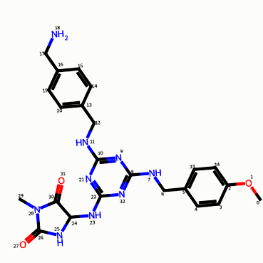 COc1ccc(CNc2nc(NCc3ccc(CN)cc3)nc(NC3NC(=O)N(C)C3=O)n2)cc1